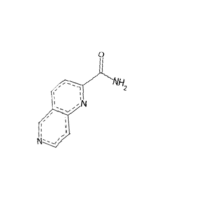 NC(=O)c1ccc2cnccc2n1